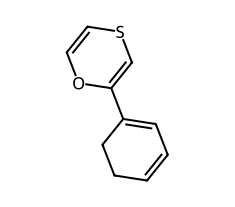 C1=CCCC(C2=CSC=CO2)=C1